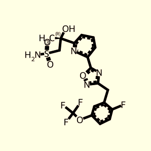 C[C@](O)(CS(N)(=O)=O)c1cccc(-c2nc(Cc3cc(OC(F)(F)F)ccc3F)no2)n1